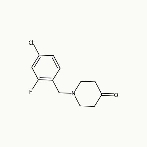 O=C1CCN(Cc2ccc(Cl)cc2F)CC1